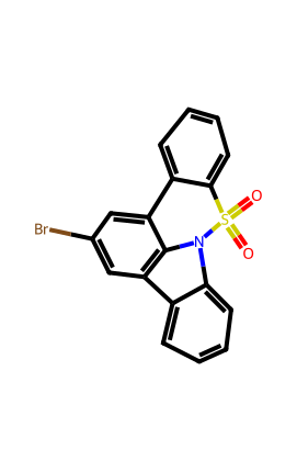 O=S1(=O)c2ccccc2-c2cc(Br)cc3c4ccccc4n1c23